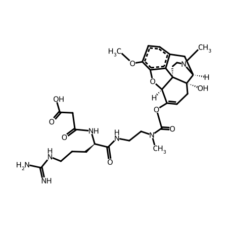 COc1ccc2c3c1O[C@@H]1C(OC(=O)N(C)CCNC(=O)[C@@H](CCCNC(=N)N)NC(=O)CC(=O)O)=CC[C@]4(O)[C@H](C2)N(C)CC[C@@]314